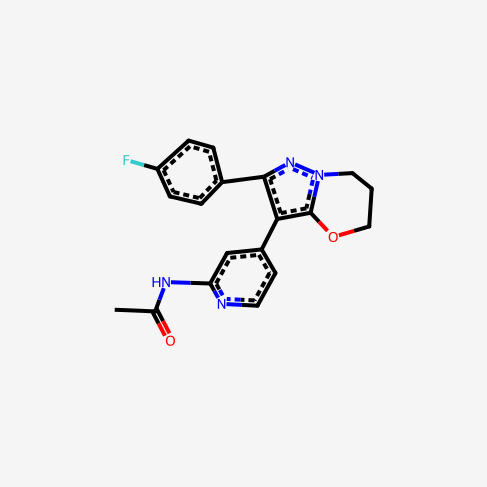 CC(=O)Nc1cc(-c2c(-c3ccc(F)cc3)nn3c2OCCC3)ccn1